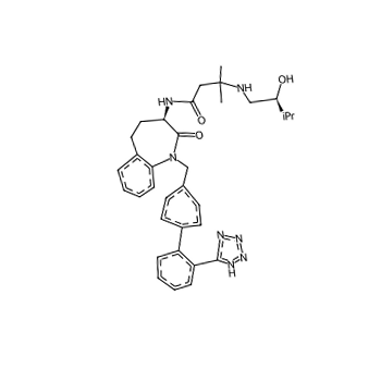 CC(C)[C@H](O)CNC(C)(C)CC(=O)N[C@@H]1CCc2ccccc2N(Cc2ccc(-c3ccccc3-c3nnn[nH]3)cc2)C1=O